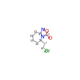 O=c1onc2n1C(CCBr)CCCC2